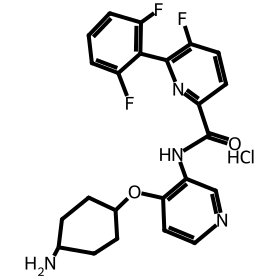 Cl.NC1CCC(Oc2ccncc2NC(=O)c2ccc(F)c(-c3c(F)cccc3F)n2)CC1